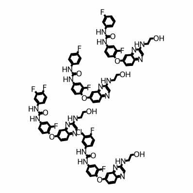 O=C(Nc1ccc(F)c(F)c1)Nc1ccc(Oc2ccc3ncc(NCCO)nc3c2)c(F)c1.O=C(Nc1ccc(F)cc1)Nc1ccc(Oc2ccc3ncc(NCCO)nc3c2)c(F)c1.O=C(Nc1ccc(Oc2ccc3ncc(NCCO)nc3c2)c(F)c1)Nc1ccc(F)c(Cl)c1.O=C(Nc1cccc(F)c1)Nc1ccc(Oc2ccc3ncc(NCCO)nc3c2)c(F)c1